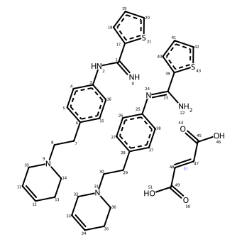 N=C(Nc1ccc(CCN2CC=CCC2)cc1)c1cccs1.NC(=Nc1ccc(CCN2CC=CCC2)cc1)c1cccs1.O=C(O)/C=C/C(=O)O